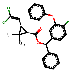 CC1(C)[C@H](C(=O)O[C@H](c2ccccc2)c2ccc(F)c(Oc3ccccc3)c2)[C@@H]1C=C(Cl)Cl